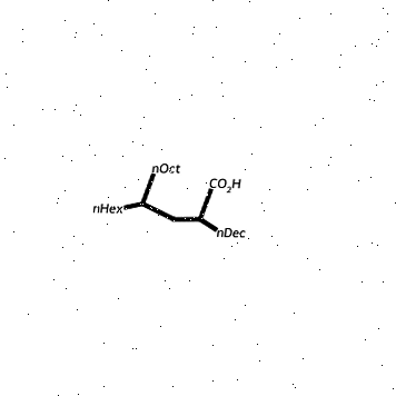 CCCCCCCCCCC(CC(CCCCCC)CCCCCCCC)C(=O)O